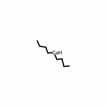 CCC[CH2][GaH][CH2]CCC